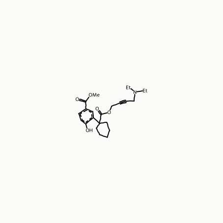 CCN(CC)CC#CCOC(=O)C1(c2cc(C(=O)OC)ccc2O)CCCCC1